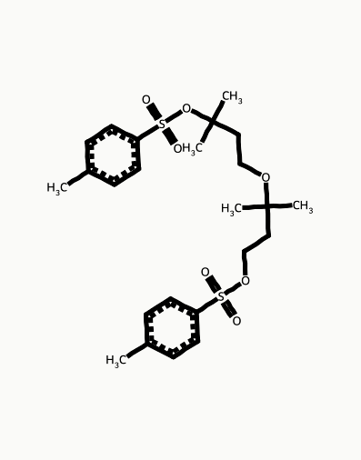 Cc1ccc(S(=O)(=O)OCCC(C)(C)OCCC(C)(C)OS(=O)(=O)c2ccc(C)cc2)cc1